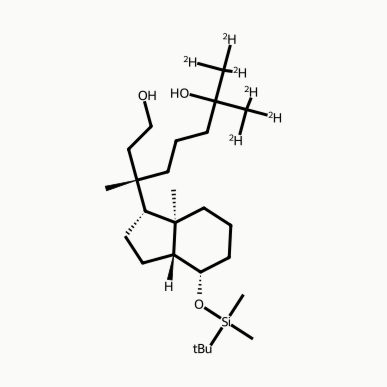 [2H]C([2H])([2H])C(O)(CCC[C@@](C)(CCO)[C@H]1CC[C@H]2[C@@H](O[Si](C)(C)C(C)(C)C)CCC[C@]12C)C([2H])([2H])[2H]